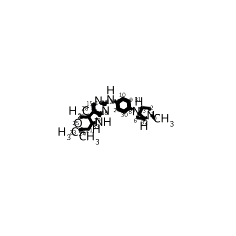 CN1C[C@@H]2C[C@H]1CN2c1ccc(Nc2ncc3c(n2)N[C@@H]2CC(C)(C)OC[C@]32C)cc1